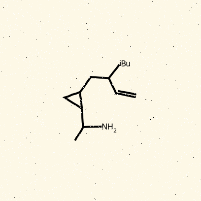 C=CC(CC1CC1C(C)N)C(C)CC